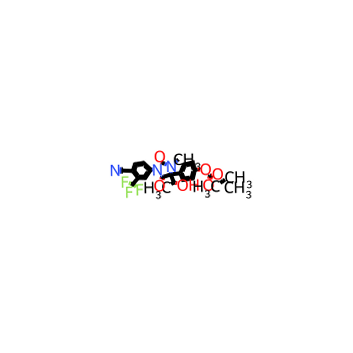 CC(O)C1(c2ccc(OC(=O)OC(C)(C)C)cc2)C(=O)N(c2ccc(C#N)c(C(F)(F)F)c2)C(=O)N1C